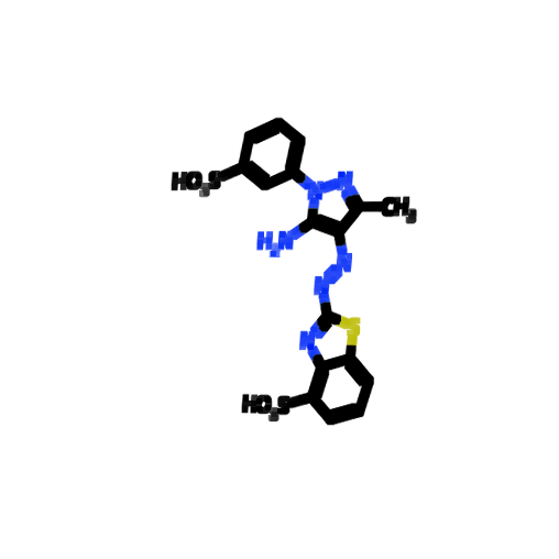 Cc1nn(-c2cccc(S(=O)(=O)O)c2)c(N)c1/N=N/c1nc2c(S(=O)(=O)O)cccc2s1